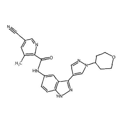 Cc1cc(C#N)cnc1C(=O)Nc1ccc2[nH]nc(-c3cnn(C4CCOCC4)c3)c2c1